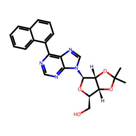 CC1(C)O[C@@H]2[C@H](O1)[C@@H](CO)O[C@H]2n1cnc2c(-c3cccc4ccccc34)ncnc21